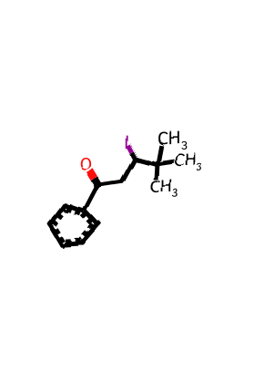 CC(C)(C)C(I)CC(=O)c1ccccc1